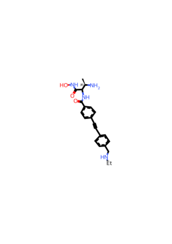 CCNCc1ccc(C#Cc2ccc(C(=O)NC(C(=O)NO)[C@@H](C)N)cc2)cc1